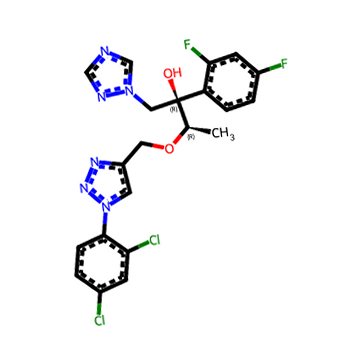 C[C@@H](OCc1cn(-c2ccc(Cl)cc2Cl)nn1)[C@](O)(Cn1cncn1)c1ccc(F)cc1F